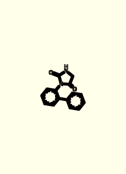 O=C1CNC(=O)N1c1ccccc1-c1ccccc1